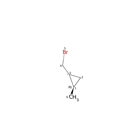 C[C@@H]1C[C]1CBr